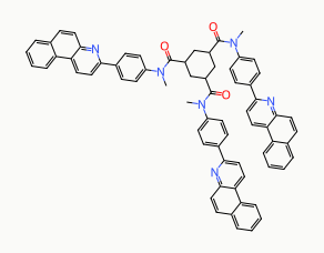 CN(C(=O)C1CC(C(=O)N(C)c2ccc(-c3ccc4c(ccc5ccccc54)n3)cc2)CC(C(=O)N(C)c2ccc(-c3ccc4c(ccc5ccccc54)n3)cc2)C1)c1ccc(-c2ccc3c(ccc4ccccc43)n2)cc1